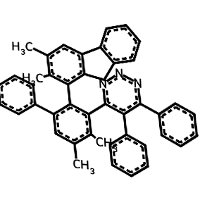 Cc1cc2c(c(-c3c(-c4ccccc4)cc(C)c(C)c3-c3nnnc(-c4ccccc4)c3-c3ccccc3)c1C)Cc1ccccc1-2